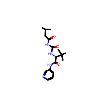 CC(C)CC(=O)NC(=O)N[C@H](C(=O)Nc1cccnc1)C(C)(C)C